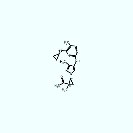 Cc1nn([C@@H]2C[C@]2(C)C(N)=O)cc1Nc1ncc(C(F)(F)F)c(NC2CC2)n1